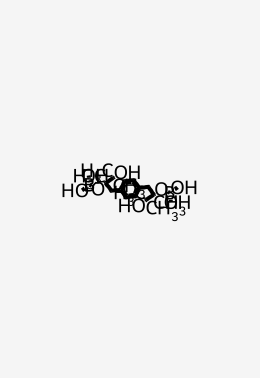 CC(C)(O)C(C)(Cc1ccc(CC(C)(OB(O)O)C(C)(C)O)cc1)OB(O)O